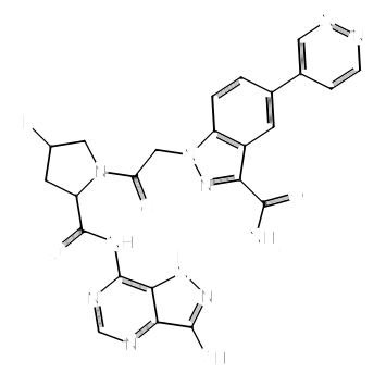 Cc1n[nH]c2c(NC(=O)C3CC(F)CN3C(=O)Cn3nc(C(N)=O)c4cc(-c5ccnnc5)ccc43)ncnc12